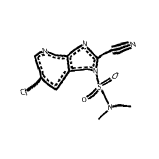 CN(C)S(=O)(=O)n1c(C#N)nc2ncc(Cl)cc21